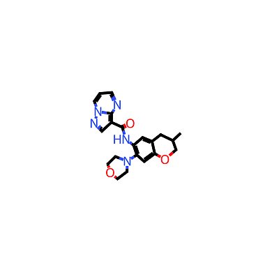 CC1COc2cc(N3CCOCC3)c(NC(=O)c3cnn4cccnc34)cc2C1